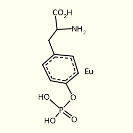 NC(Cc1ccc(OP(=O)(O)O)cc1)C(=O)O.[Eu]